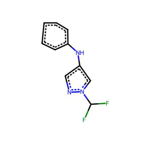 FC(F)n1cc(Nc2ccccc2)cn1